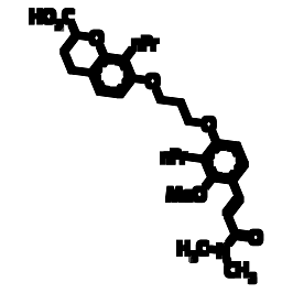 CCCc1c(OCCCOc2ccc3c(c2CCC)OC(C(=O)O)CC3)ccc(C=CC(=O)N(C)C)c1OC